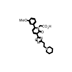 COc1cccc(-c2ccc(-c3nc(CCN4CCCCC4)no3)c(=O)n2CC(=O)O)c1